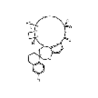 O=C1NS(=O)(=O)CCCOC[C@H](O)[C@@H]2CC[C@H]2CN2C[C@@]3(CCCc4cc(Cl)ccc43)COc3ccc1cc32